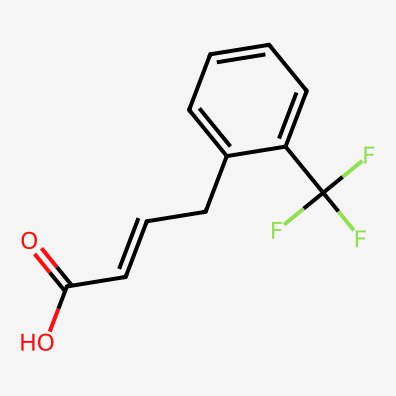 O=C(O)C=CCc1ccccc1C(F)(F)F